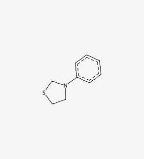 c1ccc(N2CCSC2)cc1